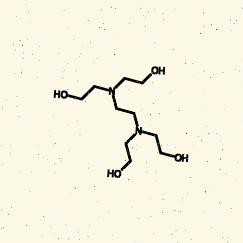 OCCN(CCO)CCN(CCO)CCO